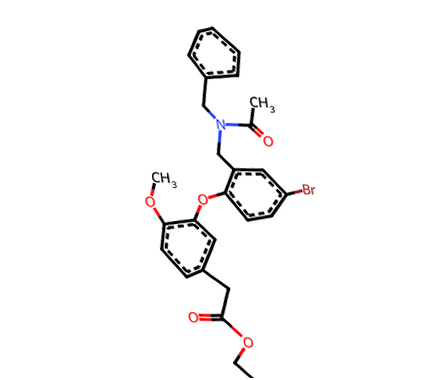 CCOC(=O)Cc1ccc(OC)c(Oc2ccc(Br)cc2CN(Cc2ccccc2)C(C)=O)c1